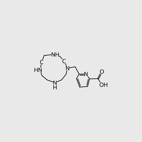 O=C(O)c1cccc(CN2CCNCCNCCNCC2)n1